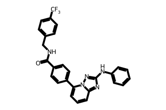 O=C(NCc1ccc(C(F)(F)F)cc1)c1ccc(-c2cccc3nc(Nc4ccccc4)nn23)cc1